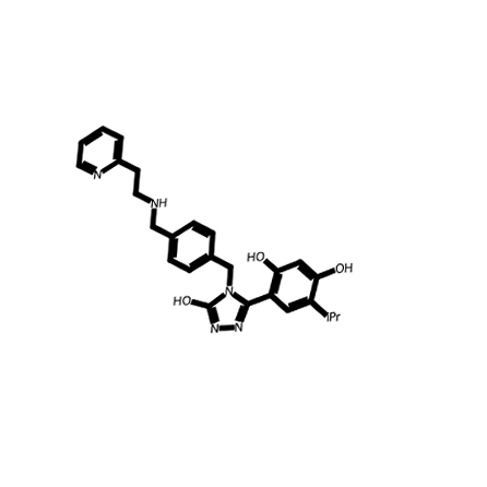 CC(C)c1cc(-c2nnc(O)n2Cc2ccc(CNCCc3ccccn3)cc2)c(O)cc1O